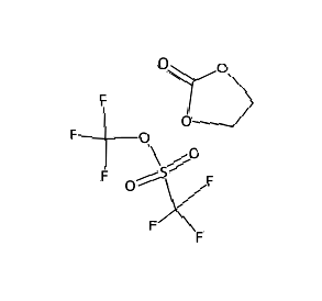 O=C1OCCO1.O=S(=O)(OC(F)(F)F)C(F)(F)F